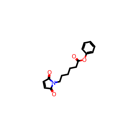 O=C(CCCCCN1C(=O)C=CC1=O)Oc1ccccc1